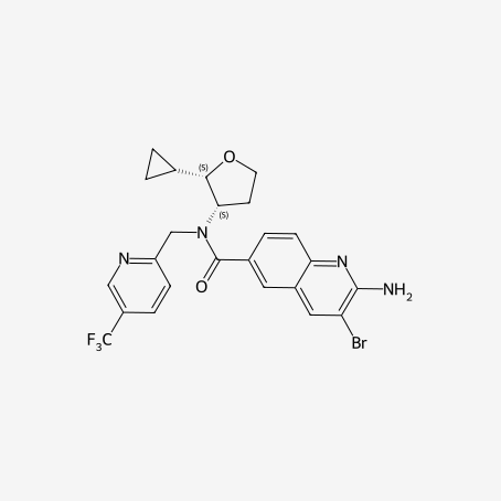 Nc1nc2ccc(C(=O)N(Cc3ccc(C(F)(F)F)cn3)[C@H]3CCO[C@H]3C3CC3)cc2cc1Br